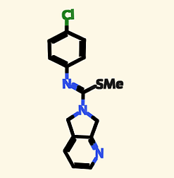 CSC(=Nc1ccc(Cl)cc1)N1Cc2cccnc2C1